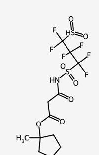 CC1(OC(=O)CC(=O)NS(=O)(=O)C(F)(F)C(F)(F)C(F)(F)[SH](=O)=O)CCCC1